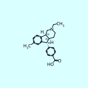 CCN1CC[C@H]2[C@H](c3ccc(C(=O)O)cc3)c3cc(C)ccc3[C@H]2C1